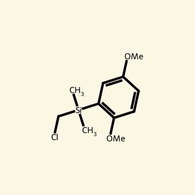 COc1ccc(OC)c([Si](C)(C)CCl)c1